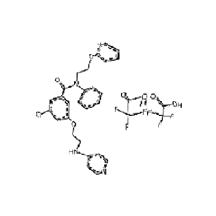 O=C(O)C(F)(F)F.O=C(O)C(F)(F)F.O=C(c1cc(Cl)cc(OCCNc2ccncc2)c1)N(CCOc1ccccn1)c1ccccc1